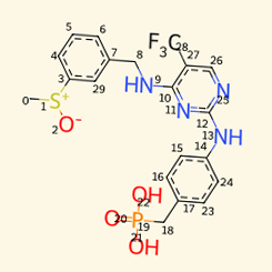 C[S+]([O-])c1cccc(CNc2nc(Nc3ccc(CP(=O)(O)O)cc3)ncc2C(F)(F)F)c1